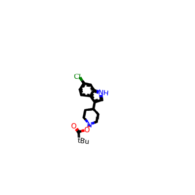 CC(C)(C)C(=O)ON1CCC(c2c[nH]c3cc(Cl)ccc23)CC1